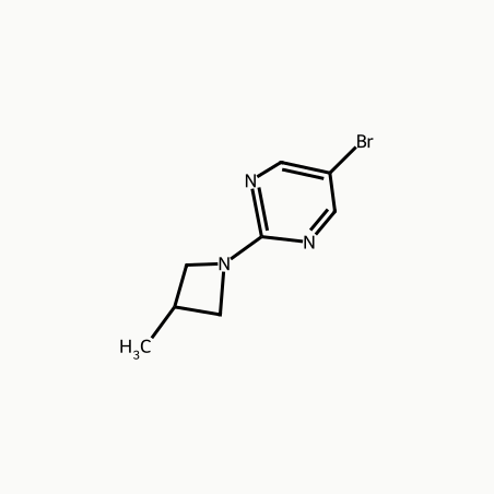 CC1CN(c2ncc(Br)cn2)C1